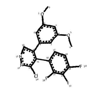 COc1cc(OC)cc(-c2cnnc(Cl)c2-c2ccc(F)c(F)c2F)c1